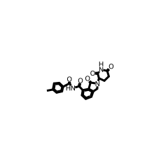 Cc1ccc(C(=O)NC(=O)c2cccc3c2C(=O)N(C2CCC(=O)NC2=O)C3)cc1